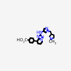 CN1CCC(Cn2cc(Nc3nc4c(-c5ccc(C(=O)O)cc5)cccn4n3)cn2)C1